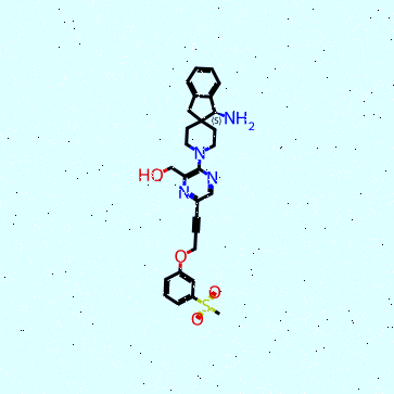 CS(=O)(=O)c1cccc(OCC#Cc2cnc(N3CCC4(CC3)Cc3ccccc3[C@H]4N)c(CO)n2)c1